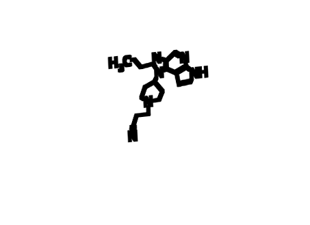 CCCc1nc2cnc3[nH]ccc3c2n1C1CCN(CCC#N)CC1